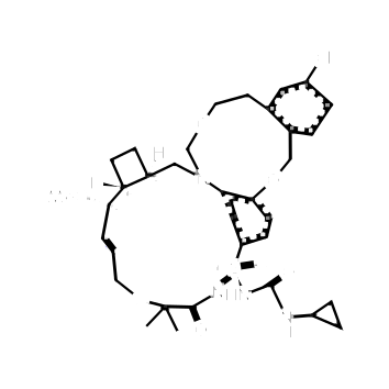 CO[C@H]1/C=C/COC(C)(C)C(=O)N=[S@](=O)(NC(=O)NC2CC2)c2ccc3c(c2)N(CCCCc2cc(Cl)ccc2CO3)C[C@@H]2CC[C@H]21